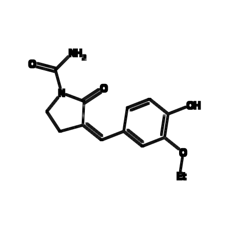 CCOc1cc(/C=C2/CCN(C(N)=O)C2=O)ccc1O